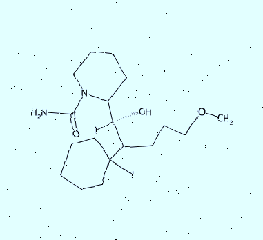 COCCCC(C1(I)CCCCC1)[C@@](O)(I)C1CCCCN1C(N)=O